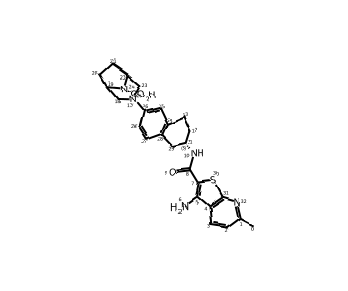 Cc1ccc2c(N)c(C(=O)N[C@H]3CCc4cc(N5CC6CCC(C5)N6C(=O)O)ccc4C3)sc2n1